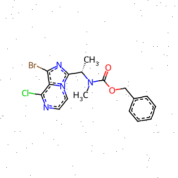 C[C@@H](c1nc(Br)c2c(Cl)nccn12)N(C)C(=O)OCc1ccccc1